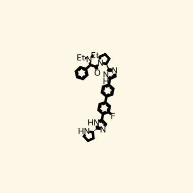 CCN(CC)C(C(=O)N1CCC[C@H]1c1ncc(-c2ccc(-c3ccc(-c4cnc([C@@H]5CCCN5)[nH]4)c(F)c3)cc2)[nH]1)c1ccccc1